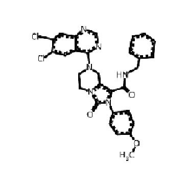 COc1ccc(-n2c(C(=O)NCc3ccccc3)c3n(c2=O)CCN(c2ncnc4cc(Cl)c(Cl)cc24)C3)cc1